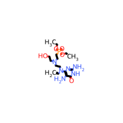 C=CN(CCN(CCO)CCP(=O)(OCC)OCC)c1nc(N)[nH]c(=O)c1N